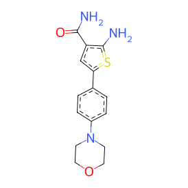 NC(=O)c1cc(-c2ccc(N3CCOCC3)cc2)sc1N